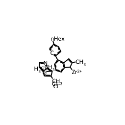 CC1=C2C3=CC=NC3=C1[Si]2(C)C.CCCCCCc1ccc(-c2cccc3c2C=C(C)[CH]3[Zr+2])cc1.[Cl-].[Cl-]